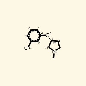 CN1CC[C@@H](Oc2cccc(Cl)c2)C1